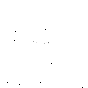 COc1ccc(CNc2nc3c(c(=O)n2-c2ccccc2)CN(C(=O)Nc2cc(Cl)ccc2OC)CC3)cc1